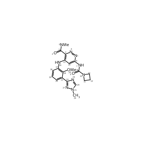 CNC(=O)c1nnc(NC(=O)N2CCC2)cc1Nc1cccc(-c2ncn(C)n2)c1OC